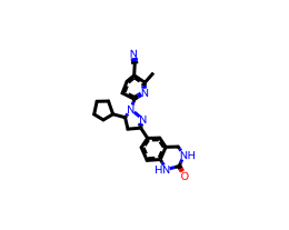 Cc1nc(N2N=C(c3ccc4c(c3)CNC(=O)N4)CC2C2CCCC2)ccc1C#N